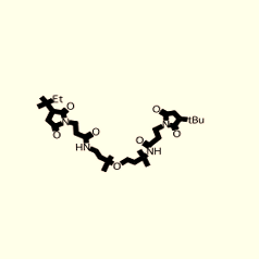 CCC(C)(C)C1CC(=O)N(CCC(=O)NCCC(C)(C)OCCC(C)(C)NC(=O)CCN2C(=O)CC(C(C)(C)C)C2=O)C1=O